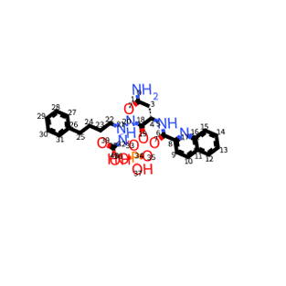 NC(=O)C[C@H](NC(=O)c1ccc2ccccc2n1)C(=O)NN(CCCCc1ccccc1)N(OP(=O)(O)O)C(=O)O